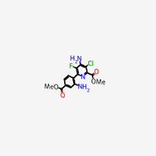 COC(=O)c1ccc(-c2nc(C(=O)OC)c(Cl)c(N)c2F)c(N)c1